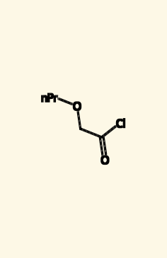 CCCOCC(=O)Cl